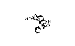 Cc1ccc(NS(=O)(=O)Cc2ccccc2)c(=O)n1CC(=O)O